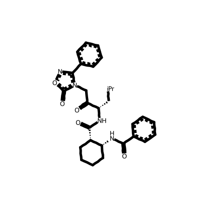 CC(C)C[C@H](NC(=O)[C@H]1CCCC[C@H]1NC(=O)c1ccccc1)C(=O)Cn1c(-c2ccccc2)noc1=O